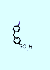 O=S(=O)(O)c1ccc(Cc2ccc(I)cc2)cc1